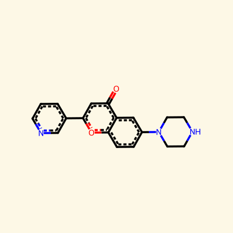 O=c1cc(-c2cccnc2)oc2ccc(N3CCNCC3)cc12